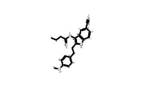 CCCC(=O)Oc1c(CCc2ccc(OC)cc2)oc2ccc(C#N)cc12